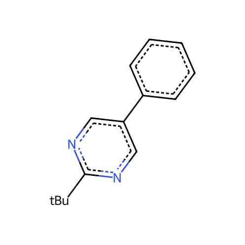 CC(C)(C)c1ncc(-c2ccccc2)cn1